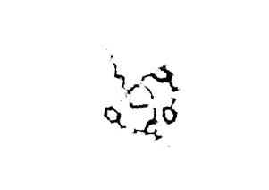 COC(=O)c1cc(C(=O)OCc2ccccc2)cc(CN2CCN[C@@H](CCCCNC(=O)OC(C)(C)C)CN(Cc3cc(C(=O)OCc4ccccc4)cc(C)n3)CC2)n1